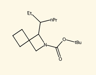 CCCC(CC)C1N(C(=O)OC(C)(C)C)CC12CCC2